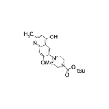 COc1cc2nc(C)cc(O)c2cc1N1CCN(C(=O)OC(C)(C)C)CC1